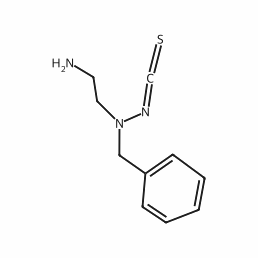 NCCN(Cc1ccccc1)N=C=S